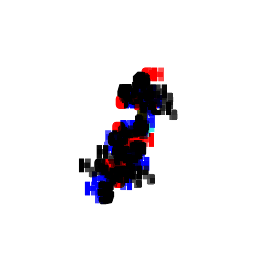 CC[C@H](NC(=O)[C@@]1(C(C)C)C=C([C@H](Cc2ccc(O)cc2)NC(=O)[C@H](C)NC(=O)C(C)(C)NC(=O)[C@H](Cc2c[nH]c3ncccc23)NC(=O)C[C@@H](C)O)N1)C(=O)N[C@@H](CSCc1cc(F)cc(CSC[C@H](NC(C)=O)C(=O)NC(C(=O)N[C@@H](Cc2ccc(O)cc2)C(=O)N2CCC[C@H]2C(N)=O)C(C)(C)C)c1)C(N)=O